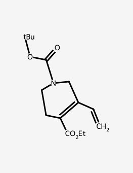 C=CC1=C(C(=O)OCC)CCN(C(=O)OC(C)(C)C)C1